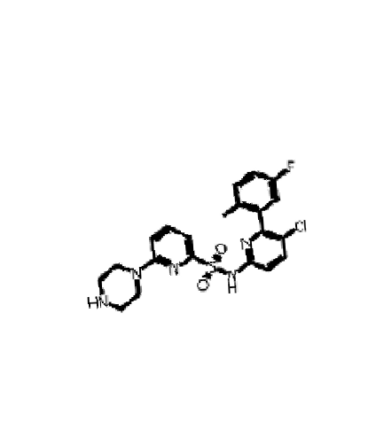 Cc1ccc(F)cc1-c1nc(NS(=O)(=O)c2cccc(N3CCNCC3)n2)ccc1Cl